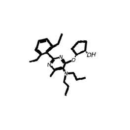 CCCN(CCC)c1c(C)nc(-c2c(CC)cccc2CC)nc1O[C@@H]1CCC[C@@H]1O